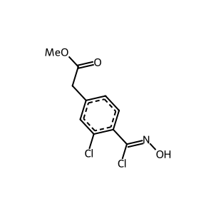 COC(=O)Cc1ccc(/C(Cl)=N/O)c(Cl)c1